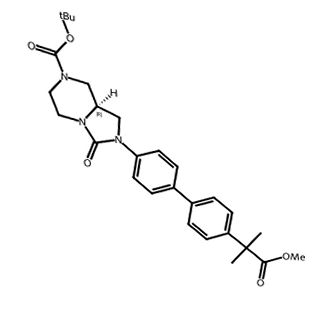 COC(=O)C(C)(C)c1ccc(-c2ccc(N3C[C@@H]4CN(C(=O)OC(C)(C)C)CCN4C3=O)cc2)cc1